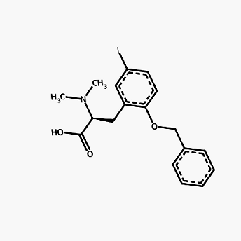 CN(C)[C@@H](Cc1cc(I)ccc1OCc1ccccc1)C(=O)O